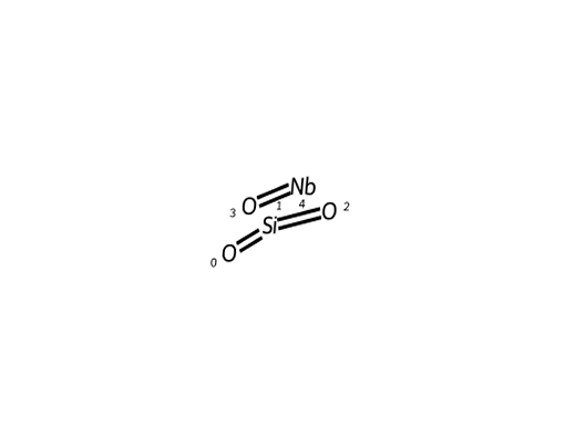 O=[Si]=O.[O]=[Nb]